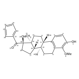 COc1c(O)ccc2c1CC[C@@H]1[C@@H]2CC[C@@]2(C)[C@H]1CC[C@]2(O)C(=O)c1ccccc1